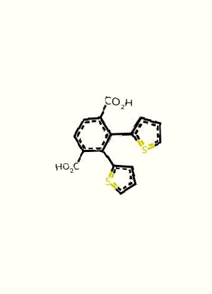 O=C(O)c1ccc(C(=O)O)c(-c2cccs2)c1-c1cccs1